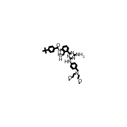 COCCN(CCOC)Cc1ccc(Nc2nc(N)nc(-c3cccc(NC(=O)c4ccc(C(C)(C)C)cc4)c3CO)n2)cc1